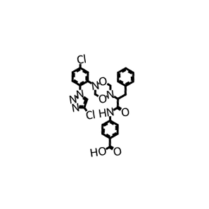 O=C(O)c1ccc(NC(=O)C(Cc2ccccc2)N2CON(c3cc(Cl)ccc3-n3cc(Cl)nn3)CO2)cc1